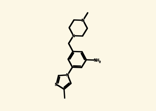 Cc1cn(-c2cc(N)cc(CN3CCN(C)CC3)c2)cn1